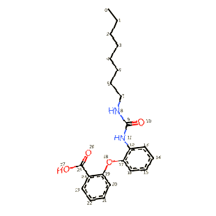 CCCCCCCCNC(=O)Nc1ccccc1Oc1ccccc1C(=O)O